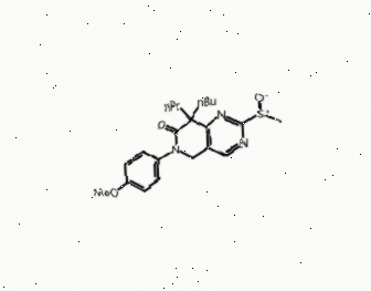 CCCCC1(CCC)C(=O)N(c2ccc(OC)cc2)Cc2cnc([S+](C)[O-])nc21